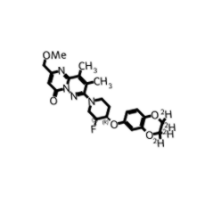 [2H]C1([2H])Oc2ccc(O[C@@H]3CCN(c4nn5c(=O)cc(COC)nc5c(C)c4C)C[C@@H]3F)cc2OC1([2H])[2H]